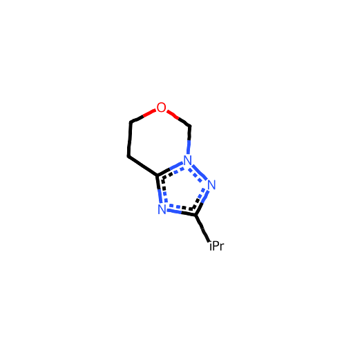 CC(C)c1nc2n(n1)COCC2